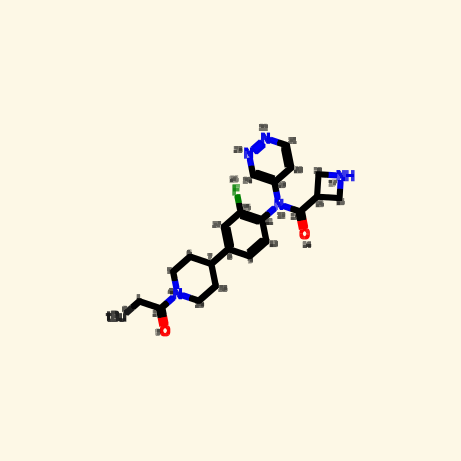 CC(C)(C)CC(=O)N1CCC(c2ccc(N(C(=O)C3CNC3)c3ccnnc3)c(F)c2)CC1